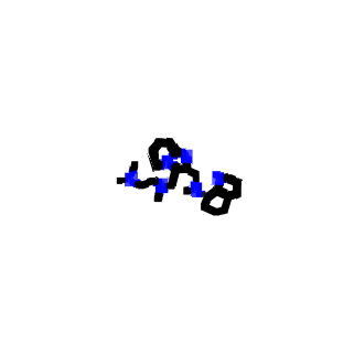 CN(C)CCN(C)Cc1c(CN(C)[C@H]2CCCc3cccnc32)nc2ccccn12